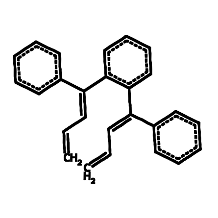 C=CC=C(c1ccccc1)c1ccccc1C(=CC=C)c1ccccc1